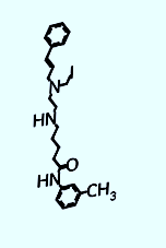 Cc1cccc(NC(=O)CCCCNCCN(CI)C/C=C/c2ccccc2)c1